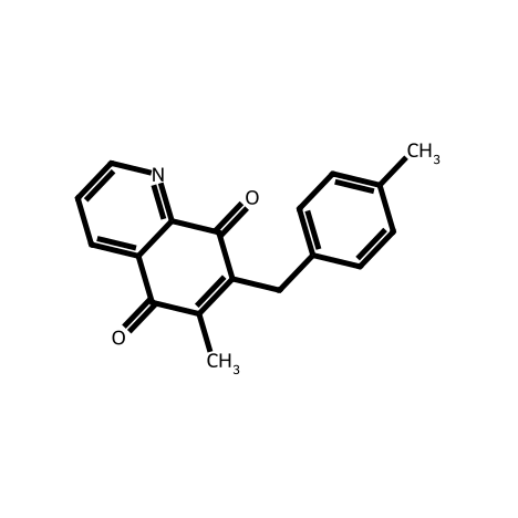 CC1=C(Cc2ccc(C)cc2)C(=O)c2ncccc2C1=O